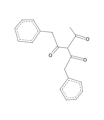 CC(=O)C(C(=O)Cc1ccccc1)C(=O)Cc1ccccc1